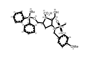 COc1ccc(CN(C2CC(CO[Si](c3ccccc3)(c3ccccc3)C(C)(C)C)N(C(=O)O)C2CO)S(C)(=O)=O)cc1